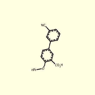 CCCOc1ccc(-c2cccc(C#N)c2)cc1C(=O)O